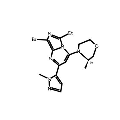 CCc1nc(Br)c2nc(-c3ccnn3C)cc(N3CCOC[C@H]3C)n12